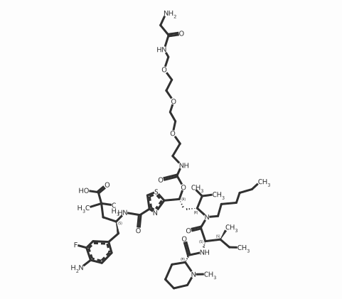 CCCCCCN(C(=O)[C@@H](NC(=O)[C@H]1CCCCN1C)[C@@H](C)CC)[C@H](C[C@@H](OC(=O)NCCOCCOCCOCNC(=O)CN)c1nc(C(=O)N[C@@H](Cc2ccc(N)c(F)c2)CC(C)(C)C(=O)O)cs1)C(C)C